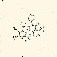 CS(=O)(=O)c1nc(N)c(C#N)c(N2CCC[C@H]2c2nc3cccc(C(F)(F)F)c3c(=O)n2-c2ccccc2)n1